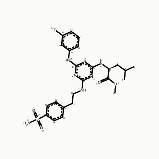 COC(=O)[C@H](CC(C)C)Nc1nc(NCCc2ccc(S(N)(=O)=O)cc2)nc(Nc2cccc(F)c2)n1